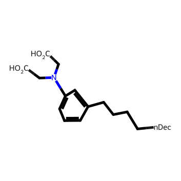 CCCCCCCCCCCCCCc1cccc(N(CC(=O)O)CC(=O)O)c1